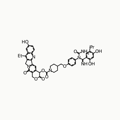 CCc1c2c(nc3ccc(O)cc13)-c1cc3c(c(=O)n1C2)COC(=O)C3OC(=O)N1CCC(COc2ccc(N(C(=N)c3cc(C(C)C)c(O)cc3O)C(N)=O)cc2)CC1